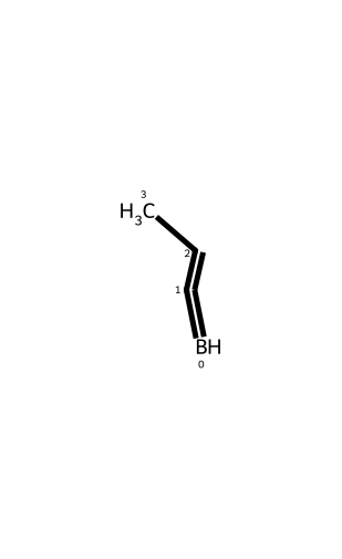 B=C=CC